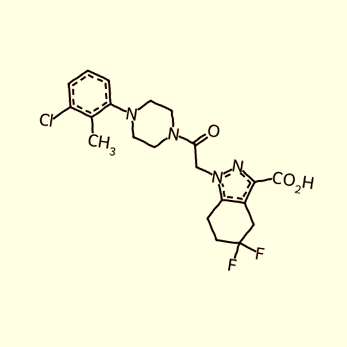 Cc1c(Cl)cccc1N1CCN(C(=O)Cn2nc(C(=O)O)c3c2CCC(F)(F)C3)CC1